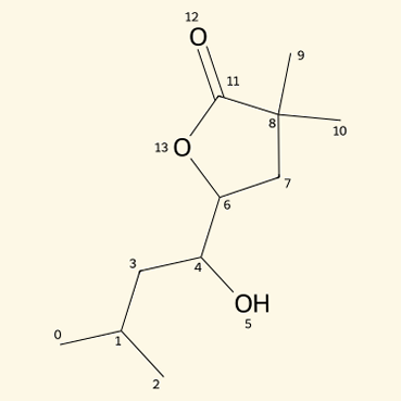 CC(C)CC(O)C1CC(C)(C)C(=O)O1